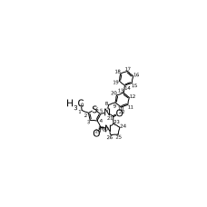 CCc1cc2c(s1)N(Cc1cccc(-c3ccccc3)c1)C(=O)C1CCCN1C2=O